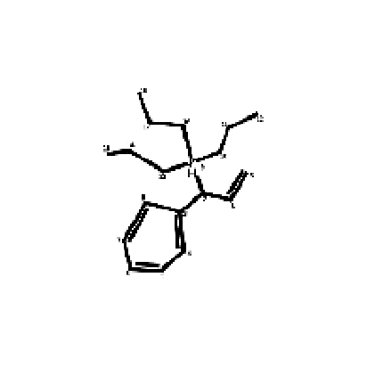 C=CC(c1ccccc1)[PH](CCC)(CCC)CCC